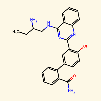 CCC(N)CNc1nc(-c2cc(-c3ccccc3C(N)=O)ccc2O)nc2ccccc12